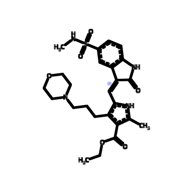 CCOC(=O)c1c(C)[nH]c(/C=C2\C(=O)Nc3ccc(S(=O)(=O)NC)cc32)c1CCCN1CCOCC1